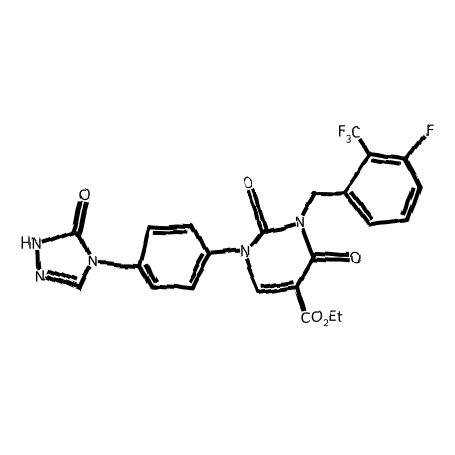 CCOC(=O)c1cn(-c2ccc(-n3cn[nH]c3=O)cc2)c(=O)n(Cc2cccc(F)c2C(F)(F)F)c1=O